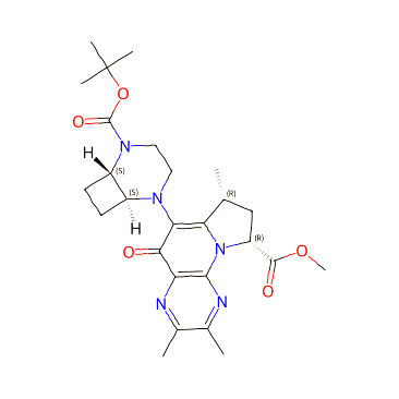 COC(=O)[C@H]1C[C@@H](C)c2c(N3CCN(C(=O)OC(C)(C)C)[C@H]4CC[C@@H]43)c(=O)c3nc(C)c(C)nc3n21